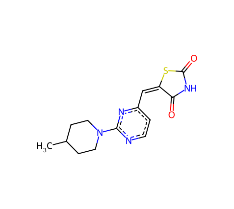 CC1CCN(c2nccc(/C=C3/SC(=O)NC3=O)n2)CC1